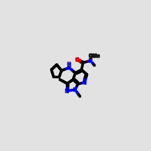 CON(C)C(=O)c1cnc2c(c(C)nn2C)c1NC1CCCC1